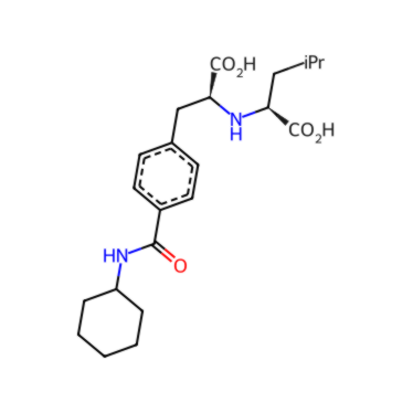 CC(C)C[C@H](N[C@@H](Cc1ccc(C(=O)NC2CCCCC2)cc1)C(=O)O)C(=O)O